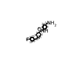 NCc1ccc(NC(=O)C2CCN(Cc3ccc(F)cc3)CC2)cc1